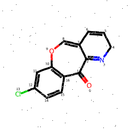 O=C1C2=NCC=CC2=COc2cc(Cl)ccc21